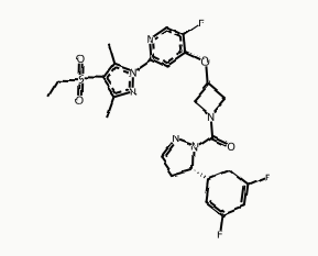 CCS(=O)(=O)c1c(C)nn(-c2cc(OC3CN(C(=O)N4N=CC[C@H]4C4C=C(F)C=C(F)C4)C3)c(F)cn2)c1C